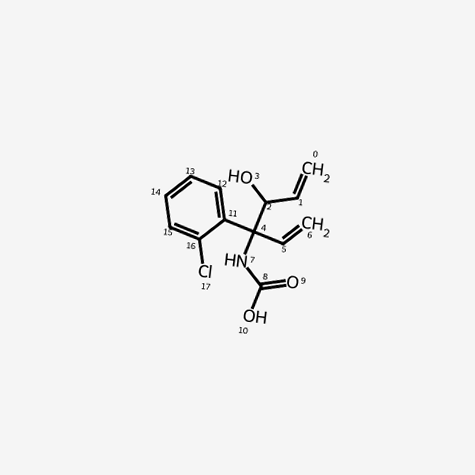 C=CC(O)C(C=C)(NC(=O)O)c1ccccc1Cl